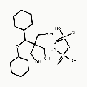 OCC(CO)(CO)C(OC1CCCCC1)C1CCCCC1.OP(O)(=S)OP(O)(=S)S